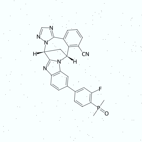 CP(C)(=O)c1ccc(-c2ccc3nc4n(c3c2)[C@@H]2C[C@H]4n3ncnc3-c3cccc(C#N)c32)cc1F